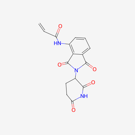 C=CC(=O)Nc1cccc2c1C(=O)N(C1CCC(=O)NC1=O)C2=O